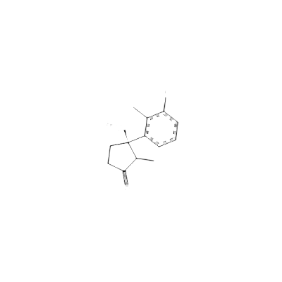 Cc1c(F)cccc1[C@@]1(C(=O)O)CCC(=O)C1C